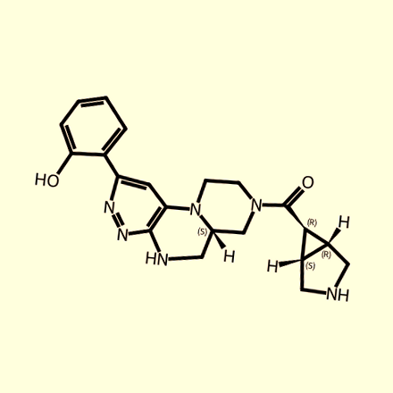 O=C([C@H]1[C@@H]2CNC[C@@H]21)N1CCN2c3cc(-c4ccccc4O)nnc3NC[C@H]2C1